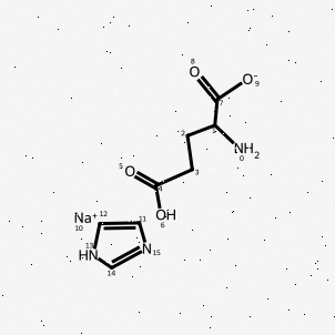 NC(CCC(=O)O)C(=O)[O-].[Na+].c1c[nH]cn1